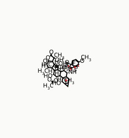 COc1ccc(S(=O)(=O)O[C@@H]2[C@@H]3[C@H]([C@H](OC(C)=O)[C@H](O)[C@@]4(C(C)=O)[C@H]3[C@@H](O)[C@@H]3[C@@H]4[C@H](C)[C@H]4O[C@]45OC(=O)[C@@](C)(O)[C@]35C)[C@]3(C)C(CC4C[C@@H]4[C@@H]3O)[C@H]2NC(=O)C(F)(F)F)cc1